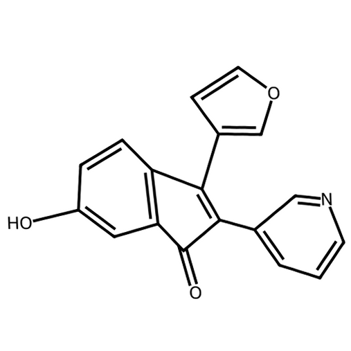 O=C1C(c2cccnc2)=C(c2ccoc2)c2ccc(O)cc21